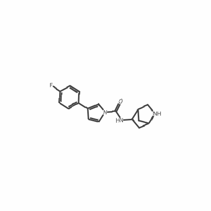 O=C(NC1CC2CC1CN2)n1ccc(-c2ccc(F)cc2)c1